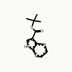 CC(C)(C)OC(=O)c1c[nH]c2nccnc12